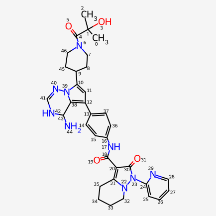 CC(C)(O)C(=O)N1CCC(c2cc(-c3ccc(NC(=O)c4c5n(n(-c6ccccn6)c4=O)CCCC5)cc3)c3n2N=CNC3N)CC1